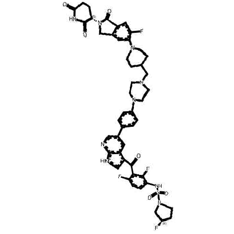 O=C1CC[C@H](N2Cc3cc(N4CCC(CN5CCN(c6ccc(-c7cnc8[nH]cc(C(=O)c9c(F)ccc(NS(=O)(=O)N%10CC[C@@H](F)C%10)c9F)c8c7)cc6)CC5)CC4)c(F)cc3C2=O)C(=O)N1